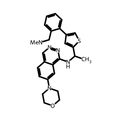 CNCc1ccccc1-c1csc(C(C)Nc2nncc3ccc(N4CCOCC4)cc23)c1